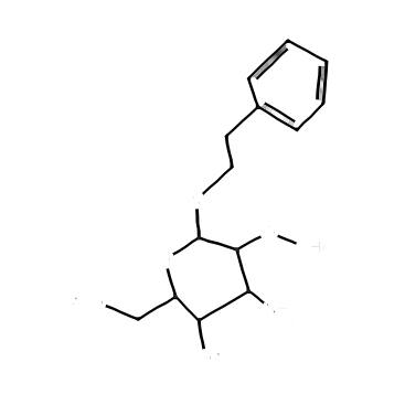 CC(=O)OCC1OC(SCCc2ccccc2)C(OC=O)C(N)C1OC(C)=O